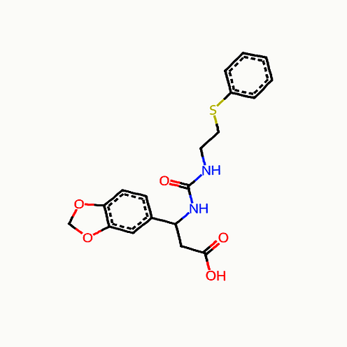 O=C(O)CC(NC(=O)NCCSc1ccccc1)c1ccc2c(c1)OCO2